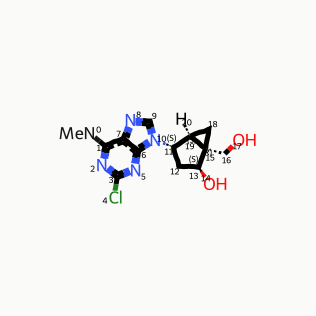 CNc1nc(Cl)nc2c1ncn2[C@H]1C[C@H](O)[C@]2(CO)C[C@H]12